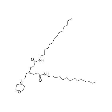 CCCCCCCCCCCCCCNC(=O)CCN(CCCN1CCOCC1)CCC(=O)NCCCCCCCCCCCCCC